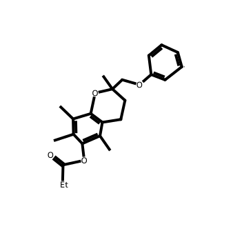 CCC(=O)Oc1c(C)c(C)c2c(c1C)CCC(C)(COc1c[c]ccc1)O2